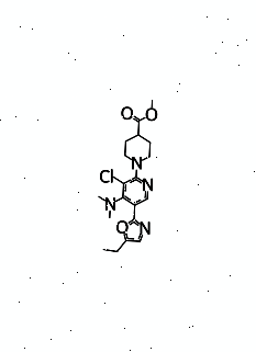 CCc1cnc(-c2cnc(N3CCC(C(=O)OC)CC3)c(Cl)c2N(C)C)o1